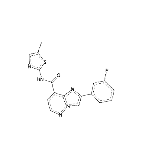 Cc1cnc(NC(=O)c2ccnn3cc(-c4cccc(F)c4)nc23)s1